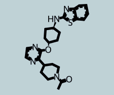 CC(=O)N1CCC(c2nccnc2O[C@H]2CC[C@H](Nc3nc4ccccc4s3)CC2)CC1